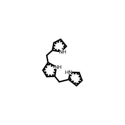 c1c[nH]c(Cc2ccc(Cc3ccc[nH]3)[nH]2)c1